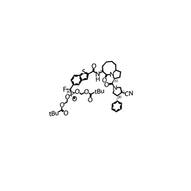 CC(C)(C)C(=O)OCOP(=O)(OCOC(=O)C(C)(C)C)[C@@H](F)c1ccc2sc(C(=O)N[C@H]3CCCCC4CC[C@@H](C(=O)N5C[C@@H](C#N)[C@H](c6ccccc6)C5)N4C3=O)cc2c1